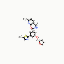 CC(C)c1cnc(-c2cc(OC[C@@H]3CCCO3)cc(C(=O)N[C@H](C)c3ccc(C(F)(F)F)nc3)c2)s1